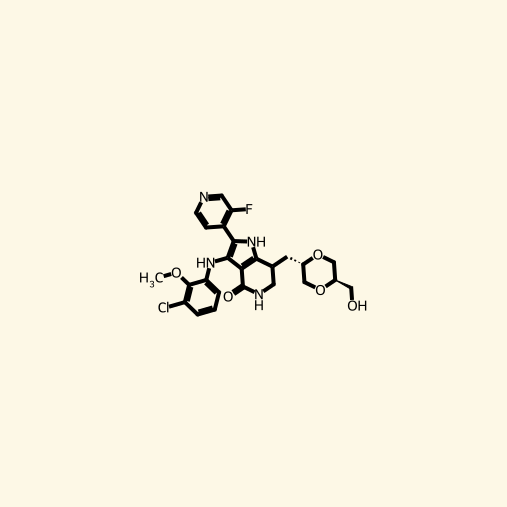 COc1c(Cl)cccc1Nc1c(-c2ccncc2F)[nH]c2c1C(=O)NCC2C[C@H]1CO[C@H](CO)CO1